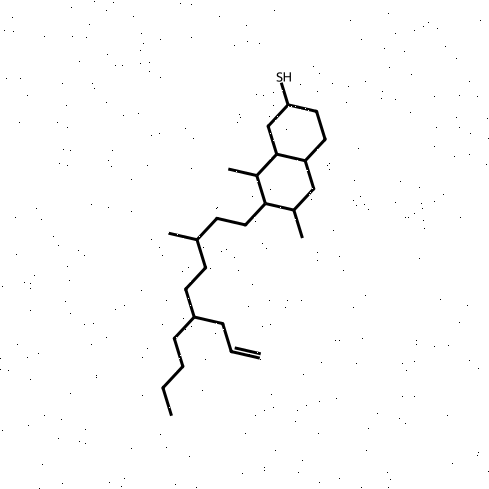 C=CCC(CCCC)CCC(C)CCC1C(C)CC2CCC(S)CC2C1C